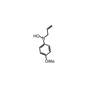 C=CCN(O)c1ccc(OC)cc1